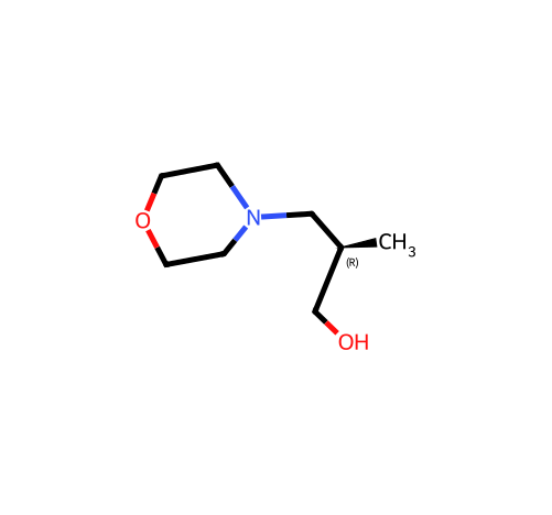 C[C@@H](CO)CN1CCOCC1